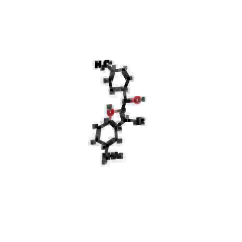 CCc1c(C(=O)c2ccc(C)cc2)oc2ccc(NC(C)=O)cc12